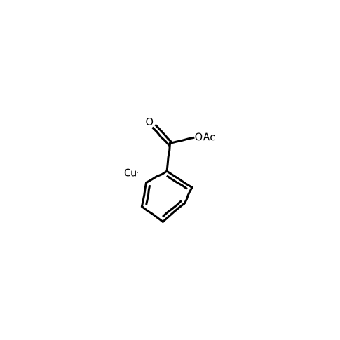 CC(=O)OC(=O)c1ccccc1.[Cu]